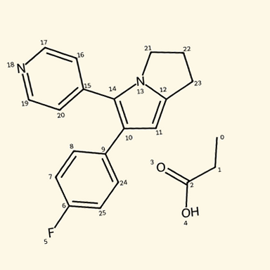 CCC(=O)O.Fc1ccc(-c2cc3n(c2-c2ccncc2)CCC3)cc1